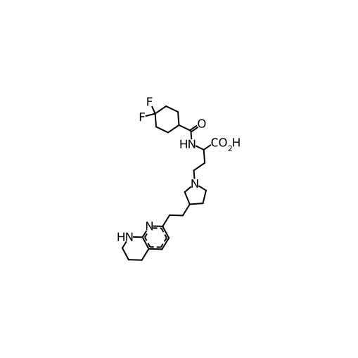 O=C(NC(CCN1CCC(CCc2ccc3c(n2)NCCC3)C1)C(=O)O)C1CCC(F)(F)CC1